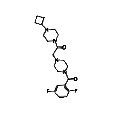 O=C(CN1CCN(C(=O)c2cc(F)ccc2F)CC1)N1CCN(C2CCC2)CC1